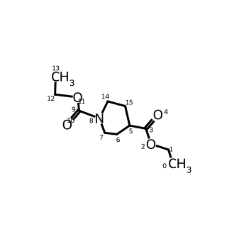 CCOC(=O)C1CCN(C(=O)OCC)CC1